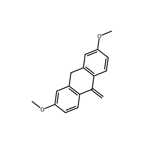 C=C1c2ccc(OC)cc2Cc2cc(OC)ccc21